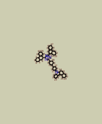 c1ccc2c(c1)cc(-c1nc(-c3ccc(-c4ccc(-n5c6ccccc6c6c7ccccc7ccc65)cc4)cc3)nc(-c3cc4ccccc4c4ccccc34)n1)c1ccccc12